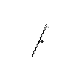 CCCCCCCCCCCCCCCCCC[Si](C)C.F